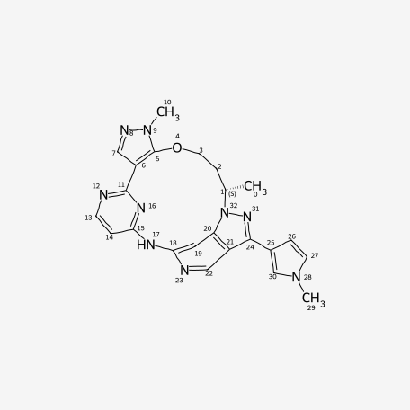 C[C@H]1CCOc2c(cnn2C)-c2nccc(n2)Nc2cc3c(cn2)c(-c2ccn(C)c2)nn31